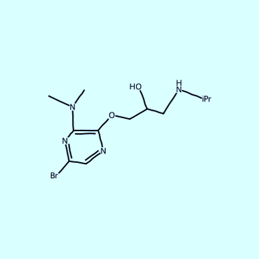 CC(C)NCC(O)COc1ncc(Br)nc1N(C)C